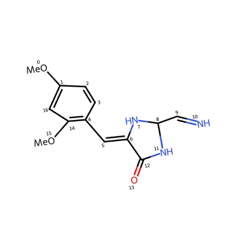 COc1ccc(/C=C2\NC(C=N)NC2=O)c(OC)c1